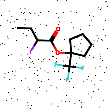 CCC(I)C(=O)OC1(C(F)(F)F)CCCC1